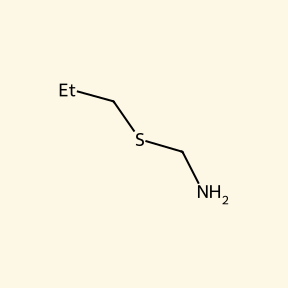 CCCSCN